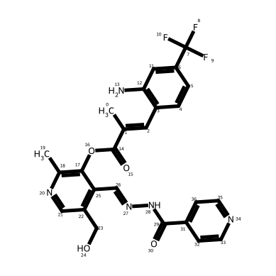 C/C(=C\c1ccc(C(F)(F)F)cc1N)C(=O)Oc1c(C)ncc(CO)c1/C=N/NC(=O)c1ccncc1